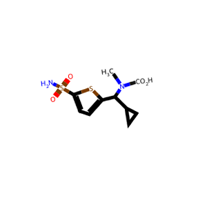 CN(C(=O)O)C(c1ccc(S(N)(=O)=O)s1)C1CC1